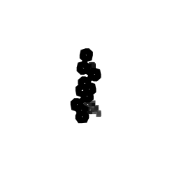 CC1(C)c2ccccc2-c2cccc(-c3ccc4ccc5c(-c6cccc7oc8c(-c9ccccc9)cccc8c67)ccc6ccc3c4c65)c21